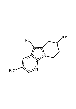 CC(C)N1CCn2c(c(C#N)c3cc(C(F)(F)F)cnc32)C1